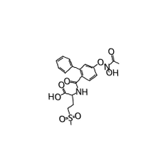 CC(=O)N(O)Oc1ccc(C(=O)NC(CCS(C)(=O)=O)C(=O)O)c(-c2ccccc2)c1